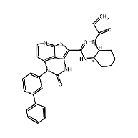 C=CC(=O)N[C@H]1CCCC[C@H]1NC(=O)c1sc2nccc3c2c1NC(=O)N3c1cccc(-c2ccccc2)c1